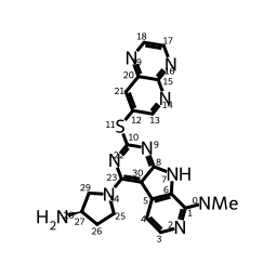 CNc1nccc2c1[nH]c1nc(Sc3cnc4nccnc4c3)nc(N3CC[C@@H](N)C3)c12